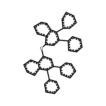 c1ccc(-c2cc(Oc3cc(-c4ccccc4)c(-c4ccccc4)c4ccccc34)c3ccccc3c2-c2ccccc2)cc1